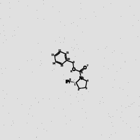 CC(C)[C@H]1CCCN1C(=O)OCc1ccccc1